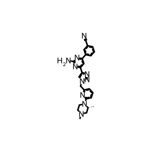 C[C@@H]1CN(C)CCN1c1cccc(Cn2cc(-c3cc(-c4cccc(C#N)c4)nc(N)n3)nn2)n1